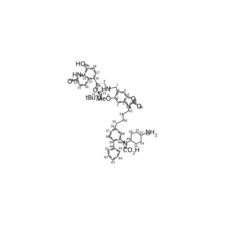 COc1cc2c(cc1CNC[C@H](O[Si](C)(C)C(C)(C)C)c1ccc(O)c3[nH]c(=O)ccc13)oc(=O)n2CCCCc1ccc(-c2ccccc2)c(N(C(=O)O)C2CCC(N)CC2)c1